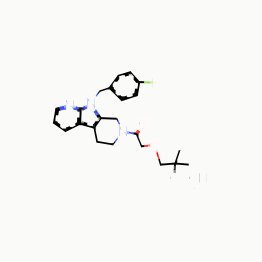 CC(C)(COCC(=O)N1CCc2c(n(Cc3ccc(F)cc3)c3ncccc23)C1)C(=O)O